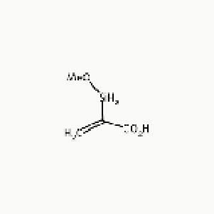 C=C([SiH2]OC)C(=O)O